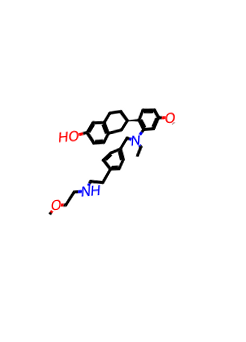 CCN(Cc1ccc(CCNCCOC)cc1)c1cc(OC)ccc1[C@@H]1CCc2cc(O)ccc2C1